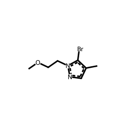 COCCn1ncc(C)c1Br